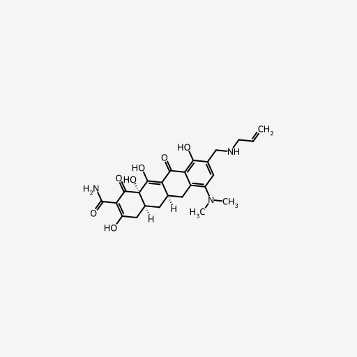 C=CCNCc1cc(N(C)C)c2c(c1O)C(=O)C1=C(O)[C@]3(O)C(=O)C(C(N)=O)=C(O)C[C@@H]3C[C@@H]1C2